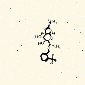 CNC1=N[C@@H]2[C@@H](O)[C@H](O)[C@@H]([C@H](C)OCc3ccccc3C(F)(F)F)O[C@@H]2S1